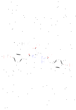 COC(=O)C(CNC(=O)Cc1ccc(O)cc1)NC(=O)Cc1ccc(O)cc1